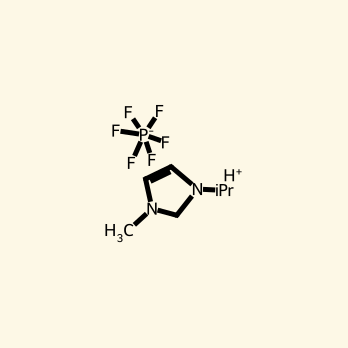 CC(C)N1C=CN(C)C1.F[P-](F)(F)(F)(F)F.[H+]